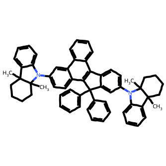 CC12CCCCC1(C)N(c1ccc3c(c1)C(c1ccccc1)(c1ccccc1)c1c-3c3ccccc3c3cc(N4c5ccccc5C5(C)CCCCC45C)ccc13)c1ccccc12